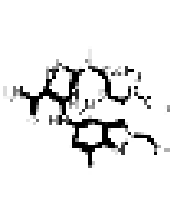 CCn1cc2cc(Nc3nc(N[C@H](C)[C@@H](N)COC)nnc3C(N)=O)cc(Cl)c2n1